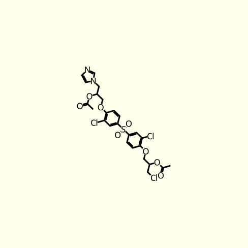 CC(=O)OC(CCl)COc1ccc(S(=O)(=O)c2ccc(OCC(Cn3ccnc3)OC(C)=O)c(Cl)c2)cc1Cl